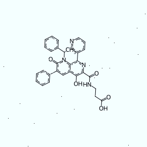 CC(c1ccccc1)n1c(=O)c(-c2ccccc2)cc2c(O)c(C(=O)NCCC(=O)O)nc(-c3cccnc3)c21